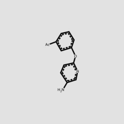 CC(=O)c1cccc(Oc2ccc(N)cn2)c1